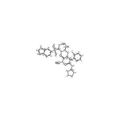 CC(C)CN(C[C@@H](O)[C@H](Cc1ccccc1)N(NC(=O)CN1CCCC1)C(=O)CC(C)(C)C)S(=O)(=O)c1ccc2ncsc2c1